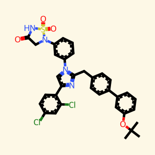 CC(C)(C)Oc1cccc(-c2ccc(Cc3nc(-c4ccc(Cl)cc4Cl)cn3-c3cccc(N4CC(=O)NS4(=O)=O)c3)cc2)c1